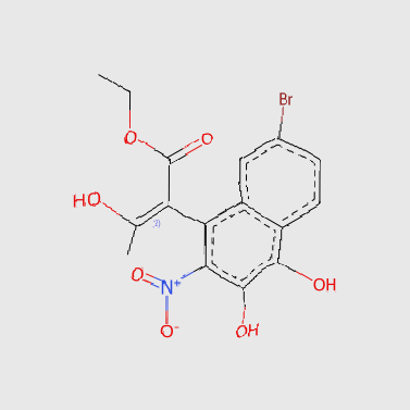 CCOC(=O)/C(=C(/C)O)c1c([N+](=O)[O-])c(O)c(O)c2ccc(Br)cc12